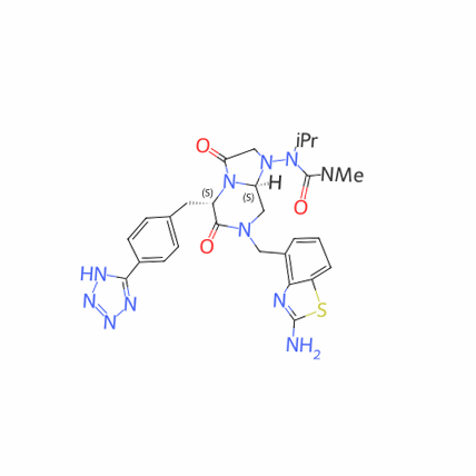 CNC(=O)N(C(C)C)N1CC(=O)N2[C@@H](Cc3ccc(-c4nnn[nH]4)cc3)C(=O)N(Cc3cccc4sc(N)nc34)C[C@@H]21